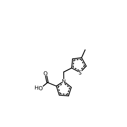 Cc1csc(Cn2cccc2C(=O)O)c1